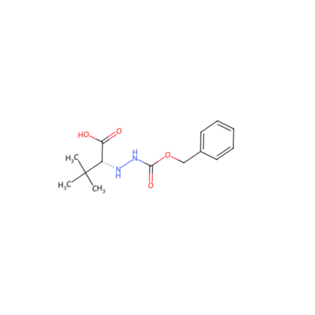 CC(C)(C)[C@@H](NNC(=O)OCc1ccccc1)C(=O)O